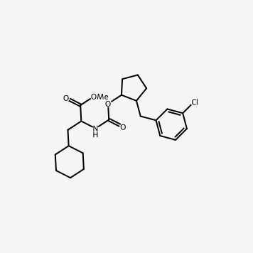 COC(=O)C(CC1CCCCC1)NC(=O)OC1CCCC1Cc1cccc(Cl)c1